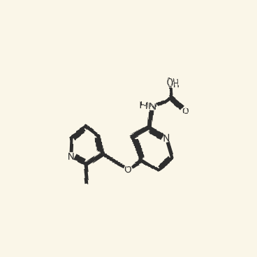 Cc1ncccc1Oc1ccnc(NC(=O)O)c1